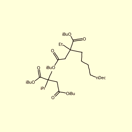 CC(C)COC(=O)CC(C)(C(=O)OCC(C)C)C(C)C.CCCCCCCCCCCCCCC(CC)(CC(=O)OCC(C)C)C(=O)OCC(C)C